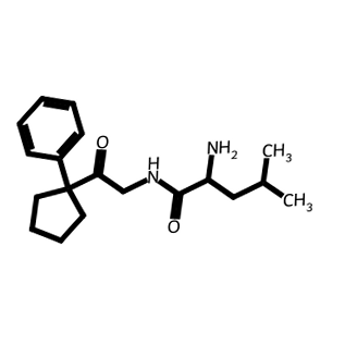 CC(C)CC(N)C(=O)NCC(=O)C1(c2ccccc2)CCCC1